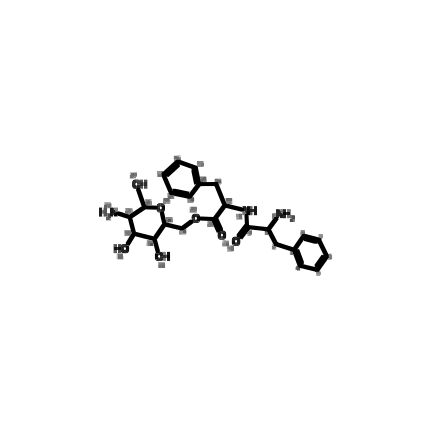 NC(Cc1ccccc1)C(=O)NC(Cc1ccccc1)C(=O)OCC1OC(O)C(N)C(O)C1O